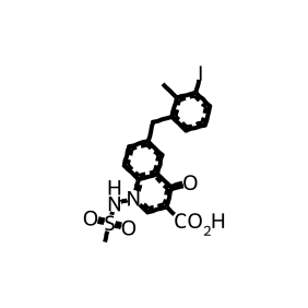 Cc1c(I)cccc1Cc1ccc2c(c1)c(=O)c(C(=O)O)cn2NS(C)(=O)=O